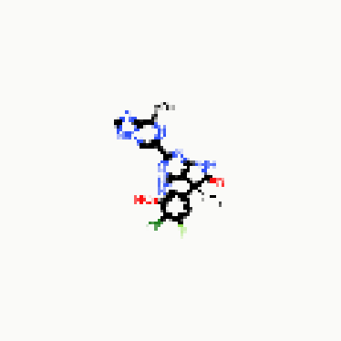 CCCCc1nc(-c2nc(N)c3c(n2)NC(=O)[C@]3(C)c2cc(O)c(Cl)c(F)c2)cn2ncnc12